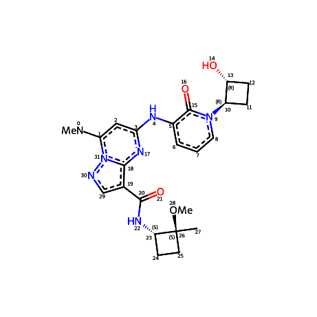 CNc1cc(Nc2cccn([C@@H]3CC[C@H]3O)c2=O)nc2c(C(=O)N[C@H]3CC[C@]3(C)OC)cnn12